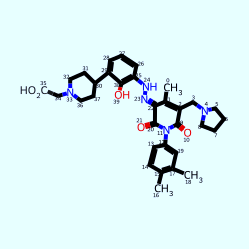 CC1=C(CN2CCCC2)C(=O)N(c2ccc(C)c(C)c2)C(=O)C1=NNc1cccc(C2CCN(CC(=O)O)CC2)c1O